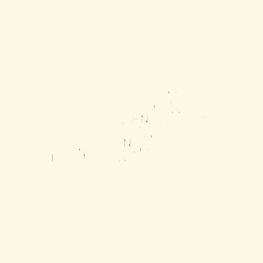 COC(=O)C[C@H](NC(=O)[C@H](CC(C)C)n1cc(CCN2CC(F)C2)c(C)cc1=O)c1cccc(-c2c(C)cccc2C)c1